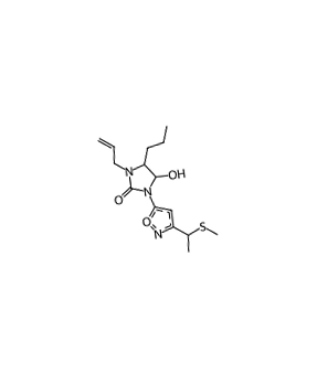 C=CCN1C(=O)N(c2cc(C(C)SC)no2)C(O)C1CCC